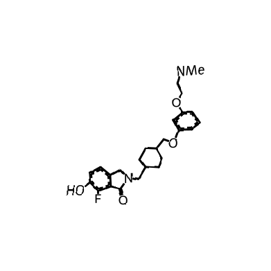 CNCCOc1cccc(OCC2CCC(CN3Cc4ccc(O)c(F)c4C3=O)CC2)c1